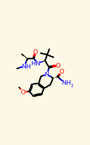 CN[C@@H](C)C(=O)N[C@H](C(=O)N1Cc2cc(OC)ccc2C[C@H]1C(N)=O)C(C)(C)C